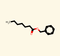 [CH2]CCCCCC(=O)OCc1ccccc1